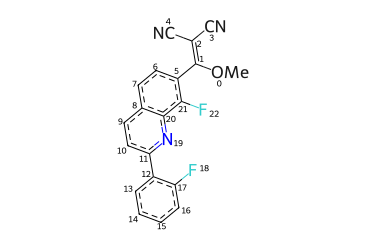 COC(=C(C#N)C#N)c1ccc2ccc(-c3ccccc3F)nc2c1F